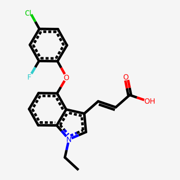 CCn1cc(C=CC(=O)O)c2c(Oc3ccc(Cl)cc3F)cccc21